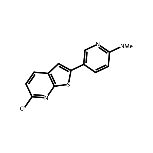 CNc1ccc(-c2cc3ccc(Cl)nc3s2)cn1